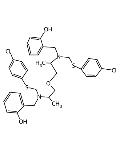 CC(COCC(C)N(CSc1ccc(Cl)cc1)Cc1ccccc1O)N(CSc1ccc(Cl)cc1)Cc1ccccc1O